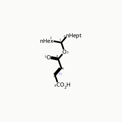 CCCCCCCC(CCCCCC)OC(=O)/C=C/C(=O)O